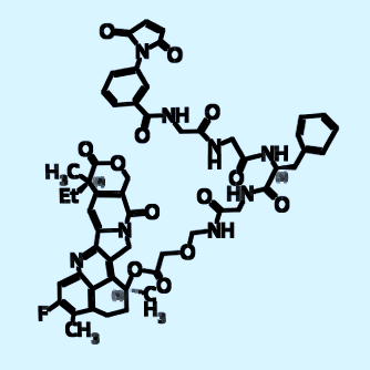 CC[C@@]1(C)C(=O)OCc2c1cc1n(c2=O)Cc2c-1nc1cc(F)c(C)c3c1c2[C@@](C)(OC(=O)COCNC(=O)CNC(=O)[C@H](Cc1ccccc1)NC(=O)CNC(=O)CNC(=O)c1cccc(N2C(=O)C=CC2=O)c1)CC3